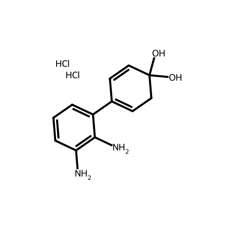 Cl.Cl.Nc1cccc(C2=CCC(O)(O)C=C2)c1N